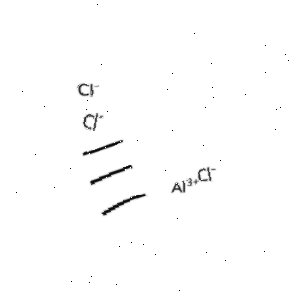 CC.CC.CC.[Al+3].[Cl-].[Cl-].[Cl-]